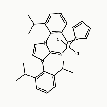 CC(C)c1cccc(C(C)C)c1-n1ccn(-c2c(C(C)C)cccc2C(C)C)c1=[N][Ti]([Cl])([Cl])[CH]1C=CC=C1